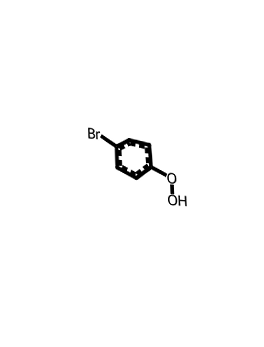 OOc1ccc(Br)cc1